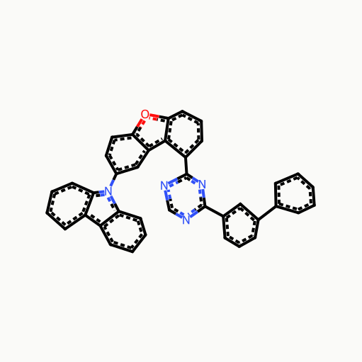 c1ccc(-c2cccc(-c3ncnc(-c4cccc5oc6ccc(-n7c8ccccc8c8ccccc87)cc6c45)n3)c2)cc1